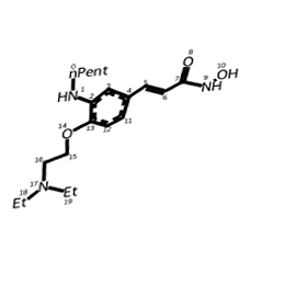 CCCCCNc1cc(/C=C/C(=O)NO)ccc1OCCN(CC)CC